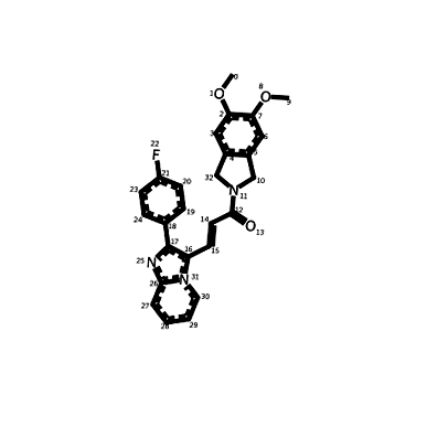 COc1cc2c(cc1OC)CN(C(=O)/C=C/c1c(-c3ccc(F)cc3)nc3ccccn13)C2